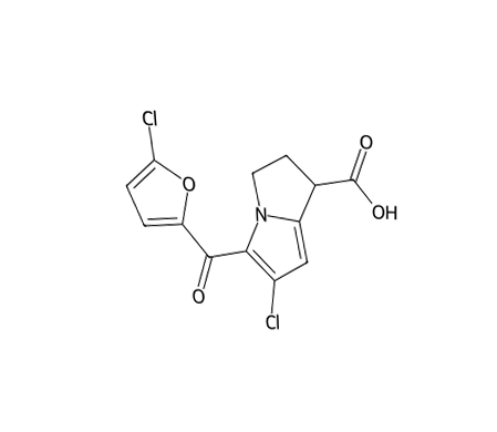 O=C(c1ccc(Cl)o1)c1c(Cl)cc2n1CCC2C(=O)O